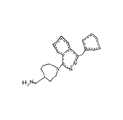 NCC1CCN(c2nnc(-c3ccccc3)c3ccccc23)CC1